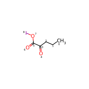 CCCC(=O)C(=O)OI